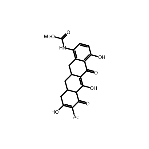 COC(=O)Nc1ccc(O)c2c1CC1CC3CC(O)=C(C(C)=O)C(=O)C3C(O)=C1C2=O